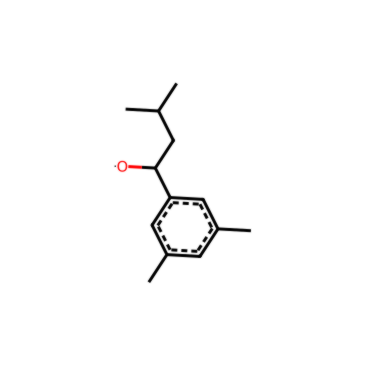 Cc1cc(C)cc(C([O])CC(C)C)c1